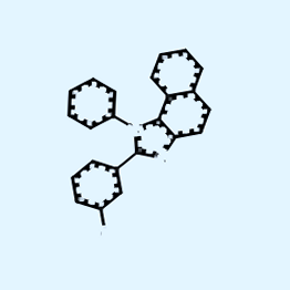 Clc1cccc(-c2nc3ccc4ccccc4c3n2-c2ccccc2)c1